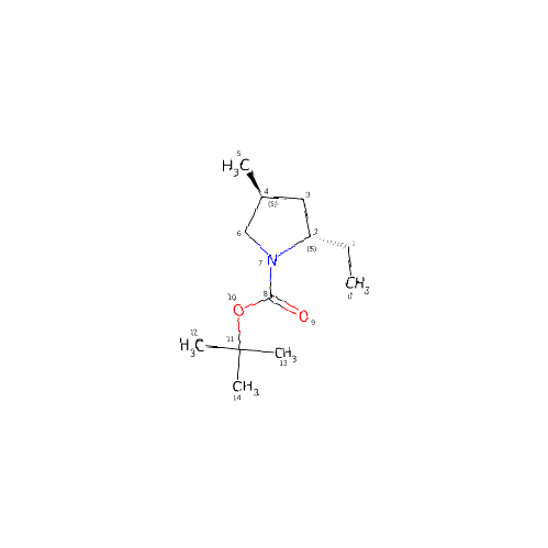 CC[C@H]1C[C@H](C)CN1C(=O)OC(C)(C)C